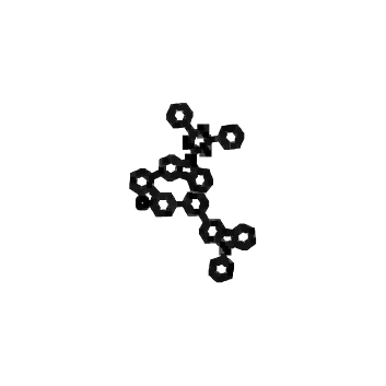 c1ccc(-c2nc(-c3ccccc3)nc(-n3c4ccccc4c4cc(-c5cccc6oc7ccc(-c8cccc(-c9ccc%10c(c9)c9ccccc9n%10-c9ccccc9)c8)cc7c56)ccc43)n2)cc1